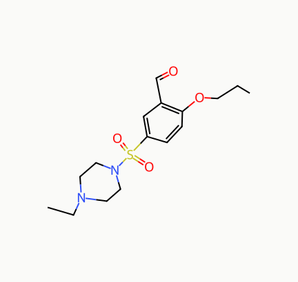 CCCOc1ccc(S(=O)(=O)N2CCN(CC)CC2)cc1C=O